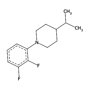 CC(C)C1CCN(c2cccc(F)c2F)CC1